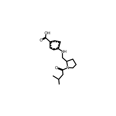 CC(C)CC(=O)N1CCCC1CNc1ccc(C(=O)O)cc1